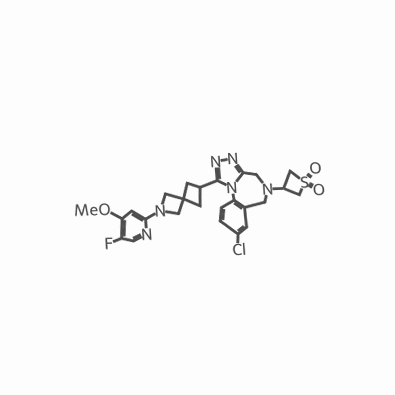 COc1cc(N2CC3(CC(c4nnc5n4-c4ccc(Cl)cc4CN(C4CS(=O)(=O)C4)C5)C3)C2)ncc1F